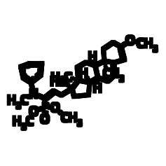 COC1=CC2=CC[C@@H]3[C@H](CC[C@@]4(C)[C@H]3CC[C@@]4(O)CC=C(N(C)c3ccccc3)P(=O)(OC)OC)[C@@]2(C)CC1